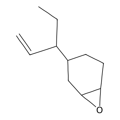 C=CC(CC)C1CCC2OC2C1